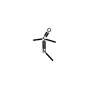 CN=S(C)(C)=O